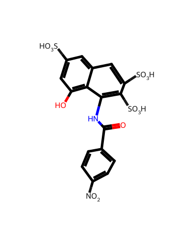 O=C(Nc1c(S(=O)(=O)O)c(S(=O)(=O)O)cc2cc(S(=O)(=O)O)cc(O)c12)c1ccc([N+](=O)[O-])cc1